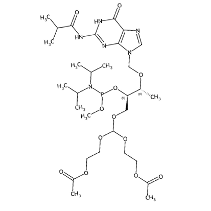 COP(O[C@H](COC(OCCOC(C)=O)OCCOC(C)=O)[C@@H](C)OCn1cnc2c(=O)[nH]c(NC(=O)C(C)C)nc21)N(C(C)C)C(C)C